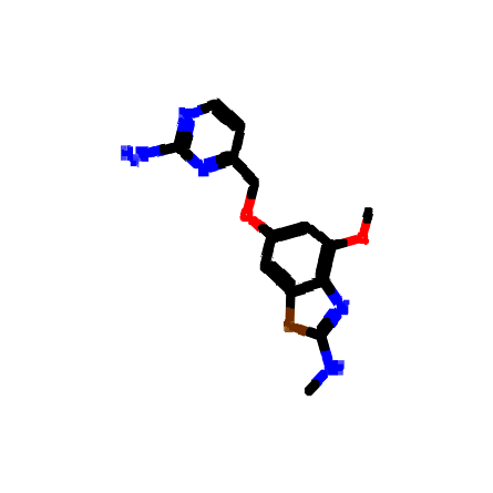 CNc1nc2c(OC)cc(OCc3ccnc(N)n3)cc2s1